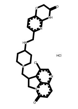 Cl.O=C1COc2ccc(CNC3CCN(CC4Cn5c(=O)ccc6ncc(Cl)c4c65)CC3)nc2N1